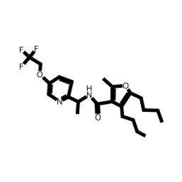 CCCCc1oc(C)c(C(=O)NC(C)c2ccc(OCC(F)(F)F)cn2)c1CCCC